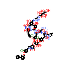 CCC1(NCc2ccc(OCc3cccc(-c4ccccc4)c3C)c(Cl)c2)C[C@H](O[C@H]2C(Oc3c4cc5cc3Oc3ccc(cc3Cl)[C@@H](O)[C@@H](NC(=O)[C@@H](CC(C)C)NC)C(=O)NC(CC(N)=O)C(=O)N[C@H]5C(=O)N[C@H]3C(=O)N[C@H](C(=O)N[C@H](C(=O)O)c5cc(O)c(CNCCCNC(=O)[C@H](O)[C@@H](O)[C@H](O)[C@H](O)CO)c(O)c5-c5cc3ccc5O)[C@H](O)c3ccc(c(Cl)c3)O4)O[C@H](CO)C(O)C2O)C[C@@H](C)[C@H]1O